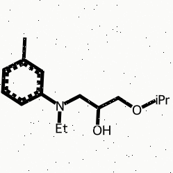 CCN(CC(O)COC(C)C)c1cccc(C)c1